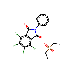 CCS(=O)(=O)CC.O=C1c2c(F)c(F)c(F)c(F)c2C(=O)N1c1ccccc1